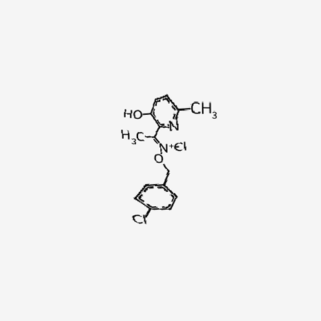 CC(c1nc(C)ccc1O)=[N+](Cl)OCc1ccc(Cl)cc1